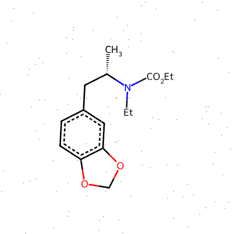 CCOC(=O)N(CC)[C@@H](C)Cc1ccc2c(c1)OCO2